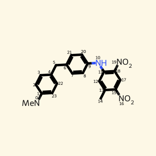 CNc1ccc(Cc2ccc(Nc3cc(C)c([N+](=O)[O-])cc3[N+](=O)[O-])cc2)cc1